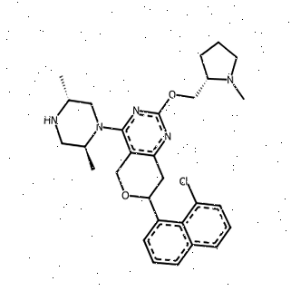 C[C@@H]1CN(c2nc(OC[C@@H]3CCCN3C)nc3c2COC(c2cccc4cccc(Cl)c24)C3)[C@@H](C)CN1